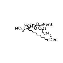 C=C(CCCCCCCCCCCCCCCCCCC)C(=O)O.C=CC(=O)OC(CCCCC)OC(=O)C=C